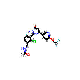 CC(C)C(=O)NCc1ccc(F)c(-c2nc(-c3ccc(OCC(F)F)nc3)cc(=O)[nH]2)c1Cl